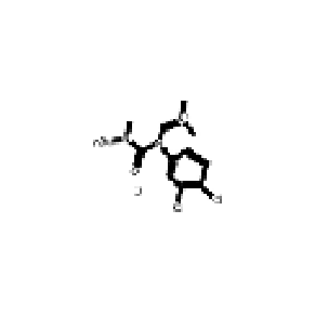 CCCCN(C)C(=O)N(C=[N+](C)C)c1ccc(Cl)c(Cl)c1.[Cl-]